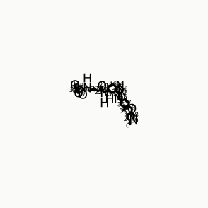 Cc1ccc(Oc2ccc(Nc3ncnc4ccc(NC(=O)CCCNC(=O)CS(C)(=O)=O)cc34)cc2C)cn1